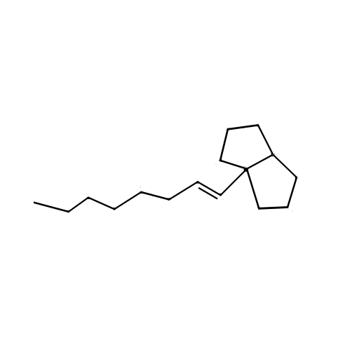 CCCCCCC=CC12CCCC1CCC2